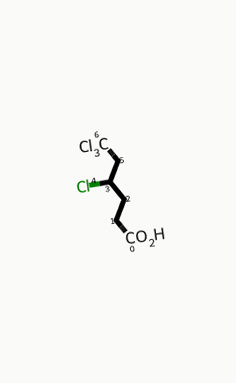 O=C(O)CCC(Cl)CC(Cl)(Cl)Cl